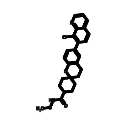 CONC(=O)N1CCC2(CCc3cc(-c4ccc5cccnc5c4Cl)ccc3O2)CC1